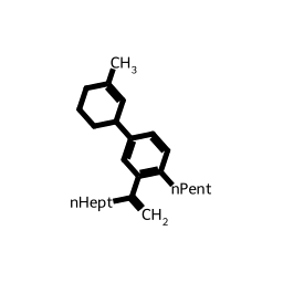 C=C(CCCCCCC)c1cc(C2C=C(C)CCC2)ccc1CCCCC